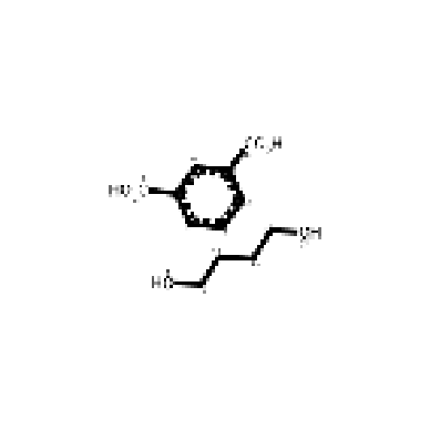 O=C(O)c1cccc(C(=O)O)c1.OCCCCO